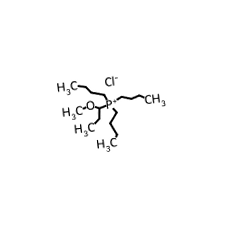 CCCC[P+](CCCC)(CCCC)C(CC)OC.[Cl-]